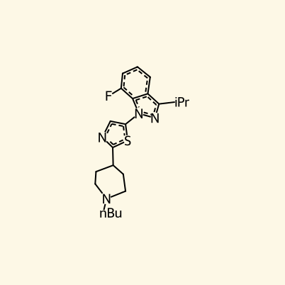 CCCCN1CCC(c2ncc(-n3nc(C(C)C)c4cccc(F)c43)s2)CC1